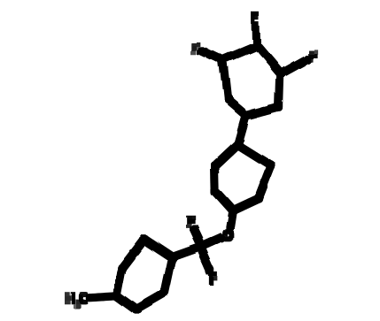 CC1CCC(C(F)(F)OC2CCC(C3CC(F)C(F)C(F)C3)CC2)CC1